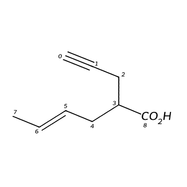 C#CCC(CC=CC)C(=O)O